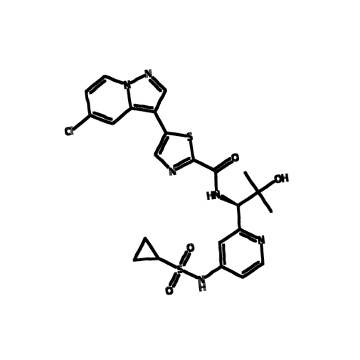 CC(C)(O)[C@H](NC(=O)c1ncc(-c2cnn3ccc(Cl)cc23)s1)c1cc(NS(=O)(=O)C2CC2)ccn1